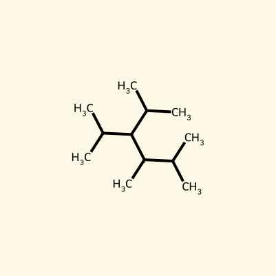 C[C](C(C)C)C(C(C)C)C(C)C